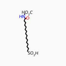 O=C(O)CNC(=O)CCCCCCCCCCCCCCCS(=O)(=O)O